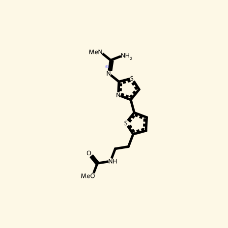 CN/C(N)=N/c1nc(-c2ccc(CCNC(=O)OC)s2)cs1